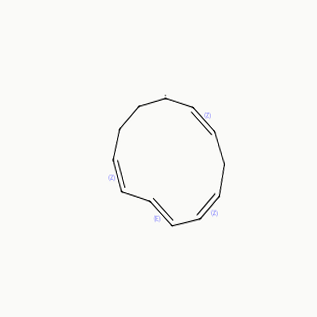 [CH]1/C=C\C\C=C/C=C/C=C\CC1